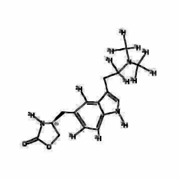 [2H]c1c(C[C@H]2COC(=O)N2[2H])c([2H])c2c(CC([2H])([2H])N(C([2H])([2H])[2H])C([2H])([2H])[2H])cn([2H])c2c1[2H]